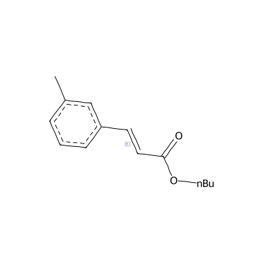 CCCCOC(=O)/C=C/c1cccc(C)c1